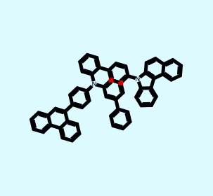 c1ccc(-c2cccc(N(c3ccc(-c4cc5ccccc5c5ccccc45)cc3)c3ccccc3-c3ccc(-n4c5ccccc5c5c6ccccc6ccc54)cc3)c2)cc1